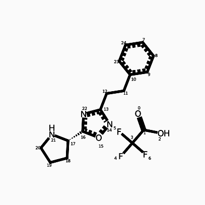 O=C(O)C(F)(F)F.c1ccc(CCc2noc([C@@H]3CCCN3)n2)cc1